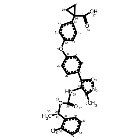 Cc1noc(-c2ccc(Oc3ccc(C4(C(=O)O)CC4)cc3)cc2)c1NC(=O)O[C@H](C)c1ccccc1Cl